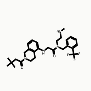 CNCCN(Cc1ccccc1C(F)(F)F)C(=O)CNc1cccc2c1CCN(C(=O)CC(C)(C)C)C2